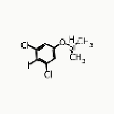 C[SiH](C)Oc1cc(Cl)c(I)c(Cl)c1